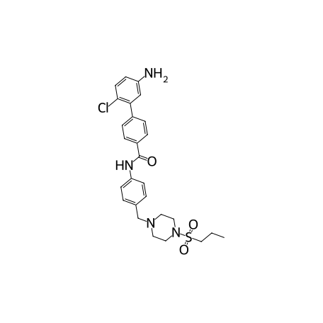 CCCS(=O)(=O)N1CCN(Cc2ccc(NC(=O)c3ccc(-c4cc(N)ccc4Cl)cc3)cc2)CC1